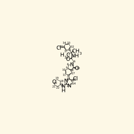 CC(C)(NC(=O)CN1Cc2ccc(-c3nc(NC4CCOCC4)ncc3Cl)cc2C1=O)c1cccc(Cl)c1